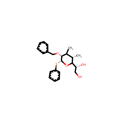 CC1[C@H](C)C([C@H](O)CO)O[C@H](Sc2ccccc2)[C@@H]1OCc1ccccc1